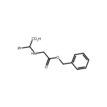 CC(C)C(NCC(=O)OCc1ccccc1)C(=O)O